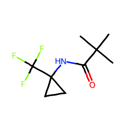 CC(C)(C)C(=O)NC1(C(F)(F)F)CC1